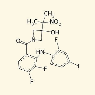 CC(C)([N+](=O)[O-])C1(O)CN(C(=O)c2ccc(F)c(F)c2Nc2ccc(I)cc2F)C1